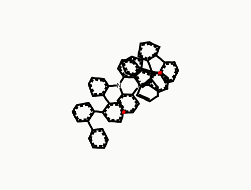 C1=CC2=C(CC1)C1(c3ccccc3-c3ccccc31)c1cccc(N(c3ccccc3-c3ccccc3-c3ccccc3-c3ccccc3)c3ccccc3-n3c4ccccc4c4ccccc43)c12